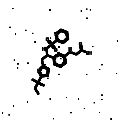 CCC(C)(C)c1ccc(CC(NS(=O)(=O)c2ccccn2)c2cccc(NCC(=O)O)n2)s1